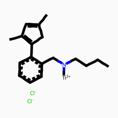 CCCC[N]([Ti+2])Cc1ccccc1C1=C(C)C=C(C)C1.[Cl-].[Cl-]